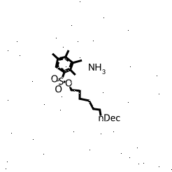 CCCCCCCCCCCCCCCCOS(=O)(=O)c1cc(C)c(C)c(C)c1C.N